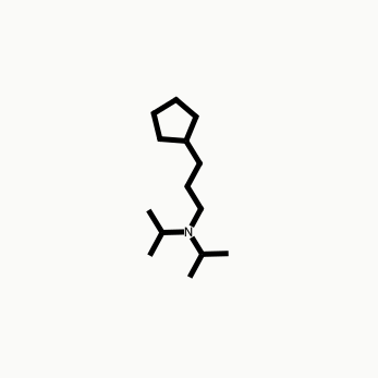 CC(C)N(CCCC1CCCC1)C(C)C